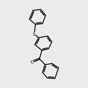 O=C(c1ccccc1)c1cccc(Sc2ccccc2)c1